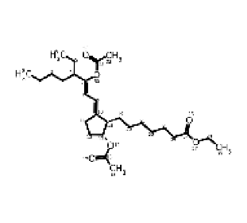 CCCCC(CC)C(=CC=C1CC[C@@H](OC(C)=O)[C@@H]1CCCCCCC(=O)OCC)OC(C)=O